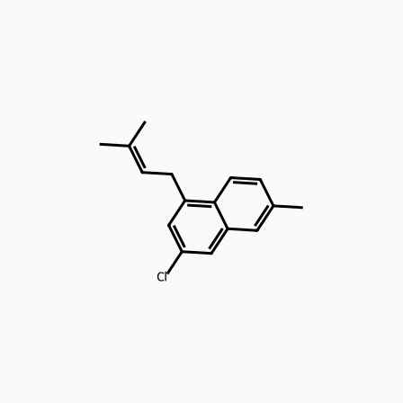 CC(C)=CCc1cc(Cl)cc2cc(C)ccc12